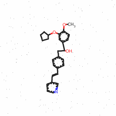 COc1ccc(C(O)Cc2ccc(C=Cc3cccnc3)cc2)cc1OC1CCCC1